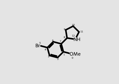 COc1ccc(Br)cc1C1CCCN1